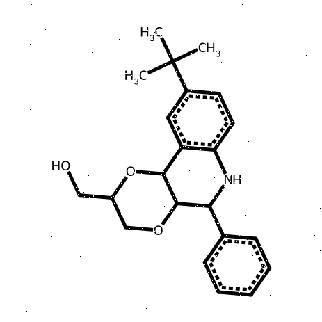 CC(C)(C)c1ccc2c(c1)C1OC(CO)COC1C(c1ccccc1)N2